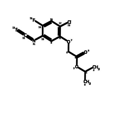 CC(C)OC(=O)COc1cc(N=C=S)c(F)cc1Cl